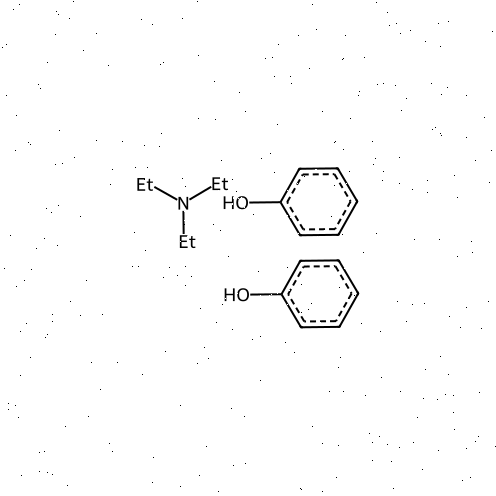 CCN(CC)CC.Oc1ccccc1.Oc1ccccc1